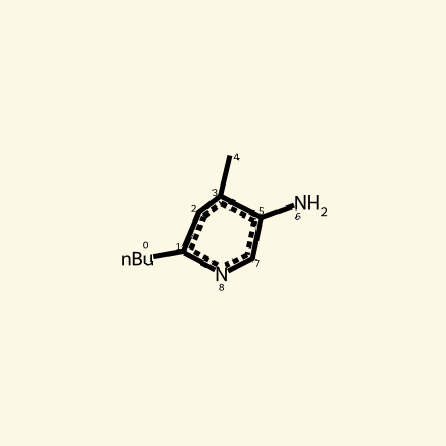 CCCCc1cc(C)c(N)cn1